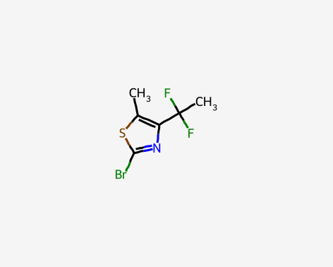 Cc1sc(Br)nc1C(C)(F)F